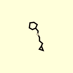 [CH](CCOCC1CCCCC1)C1CC1